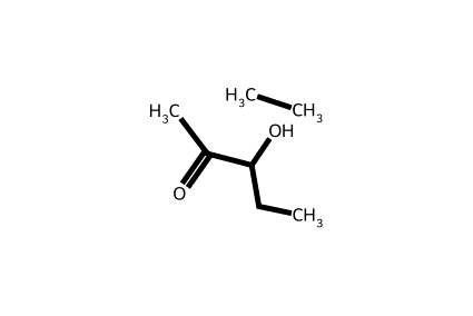 CC.CCC(O)C(C)=O